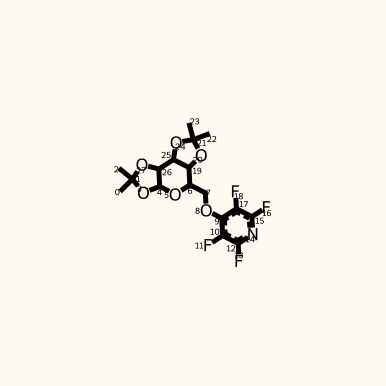 CC1(C)OC2OC(COc3c(F)c(F)nc(F)c3F)C3OC(C)(C)OC3C2O1